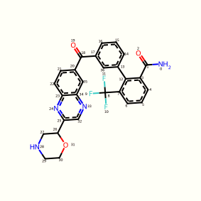 NC(=O)c1cccc(C(F)(F)F)c1-c1cccc(C(=O)c2ccc3nc(C4CNCCO4)cnc3c2)c1